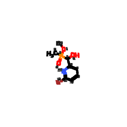 CCOP(C)(=O)C(O)c1cccc(Br)n1